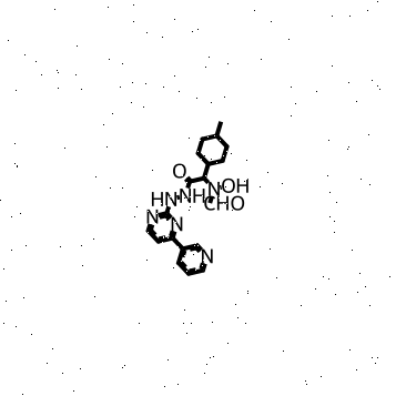 CC1CCC(C(C(=O)NNc2nccc(-c3cccnc3)n2)N(O)C=O)CC1